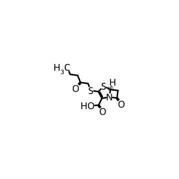 CCCC(=O)CSC1=C(C(=O)O)N2C(=O)C[C@@H]2S1